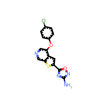 Nc1noc(-c2cc3c(Oc4ccc(Cl)cc4)cncc3s2)n1